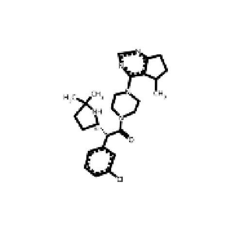 CC1CCc2ncnc(N3CCN(C(=O)C(c4cccc(Cl)c4)[C@@H]4CCC(C)(C)N4)CC3)c21